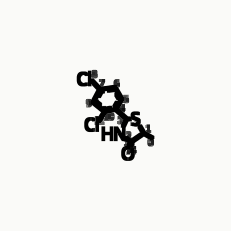 CC1SC(c2ccc(Cl)cc2Cl)NC1=O